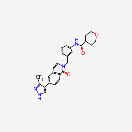 O=C(Nc1cccc(Cn2ccc3cc(-c4c[nH]nc4C(F)(F)F)ccc3c2=O)c1)C1CCOCC1